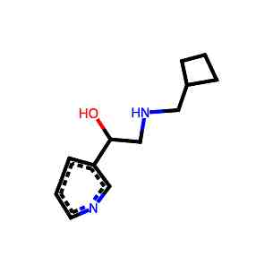 OC(CNCC1CCC1)c1cccnc1